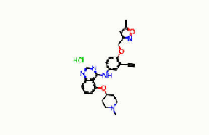 C#Cc1cc(Nc2ncnc3cccc(OC4CCN(C)CC4)c23)ccc1OCc1cc(C)on1.Cl